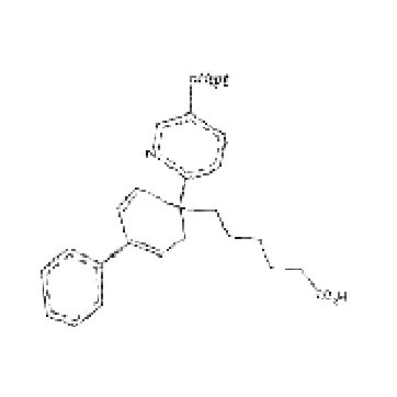 CCCCCCCc1ccc(C2(CCCCCC(=O)O)C=CC(c3ccccc3)=CC2)nc1